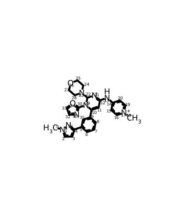 Cn1ccc(-c2cccc(C3=CC(Nc4cc[n+](C)cc4)=NC(N4CCOCC4)N3c3ncco3)c2)n1